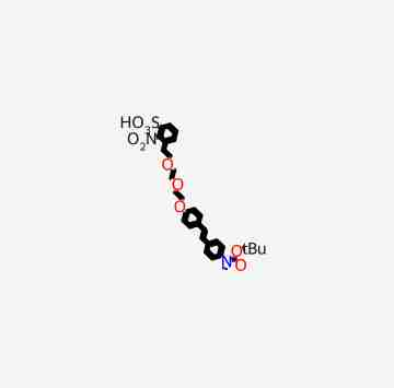 CN(C(=O)OC(C)(C)C)c1ccc(C=Cc2ccc(OCCOCCOCCc3cccc(S(=O)(=O)O)c3[N+](=O)[O-])cc2)cc1